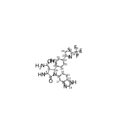 C/C(N)=C1/C(=N)C(=O)N(c2ccc3[nH]cnc3c2)C1c1ccc(-c2csc(C(F)(F)F)n2)cc1F